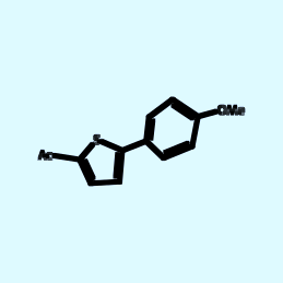 COc1ccc(-c2ccc(C(C)=O)s2)cc1